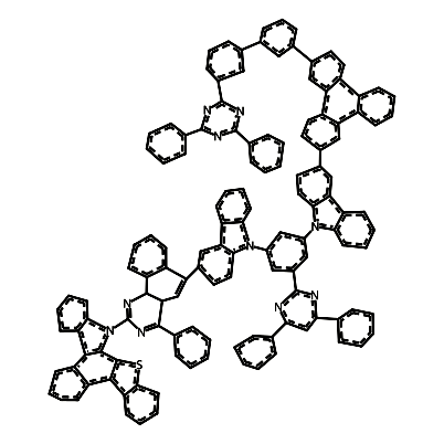 C1=C(c2ccc3c(c2)c2ccccc2n3-c2cc(-c3nc(-c4ccccc4)cc(-c4ccccc4)n3)cc(-n3c4ccccc4c4cc(-c5ccc6c7cc(-c8cccc(-c9cccc(-c%10nc(-c%11ccccc%11)nc(-c%11ccccc%11)n%10)c9)c8)ccc7c7ccccc7c6c5)ccc43)c2)c2ccccc2C2N=C(n3c4ccccc4c4c5ccccc5c5c6ccccc6sc5c43)N=C(c3ccccc3)C12